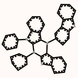 c1ccc(B2c3sc4ccccc4c3N(c3ccc4sc5ccccc5c4c3)c3c2n(-c2ccccc2)c2ccccc32)cc1